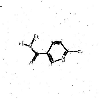 CCN(CC)C(=O)c1ccc(Cl)nc1